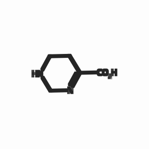 O=C(O)C1=NCNCC1